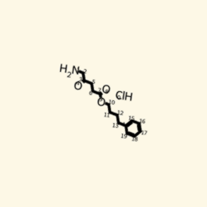 Cl.NCC(=O)CCC(=O)OCCCCc1ccccc1